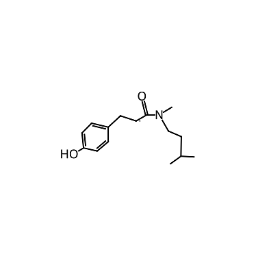 CC(C)CCN(C)C(=O)[CH]Cc1ccc(O)cc1